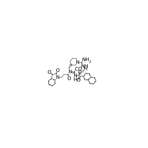 N=C(N)N1CCC[C@H](CN(C(=O)CCN2C(=O)C(=O)c3ccccc32)[C@H](NS(=O)(=O)c2ccc3ccccc3c2)C(=O)O)C1